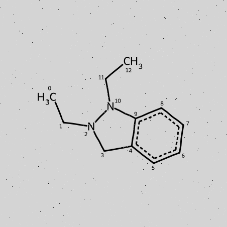 CCN1Cc2ccccc2N1CC